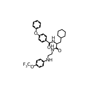 O=C(NC(CC1CCCCC1)C(=O)NCCNc1ccc(OC(F)(F)F)cc1)c1ccc(Oc2ccccc2)cc1